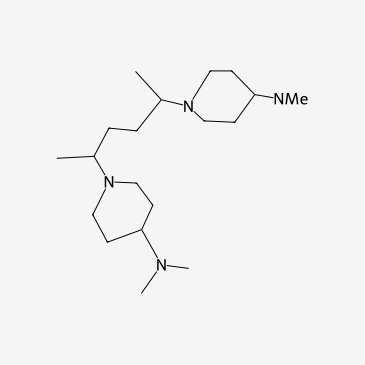 CNC1CCN(C(C)CCC(C)N2CCC(N(C)C)CC2)CC1